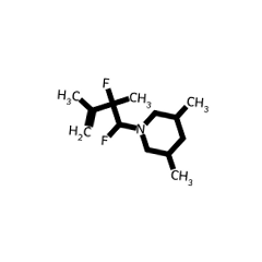 C=C(C)C(C)(F)C(F)N1CC(C)CC(C)C1